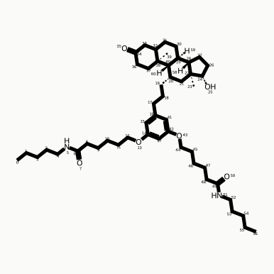 CCCCCNC(=O)CCCCCOc1cc(CCC[C@H]2C[C@]3(C)[C@@H](O)CC[C@H]3[C@@H]3CCC4CC(=O)CC[C@]4(C)[C@@H]23)cc(OCCCCCC(=O)NCCCCC)c1